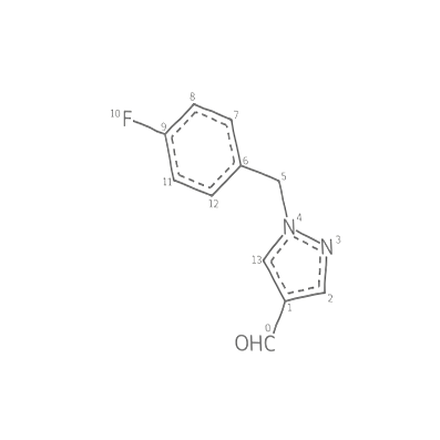 O=Cc1cnn(Cc2ccc(F)cc2)c1